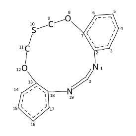 C1=Nc2ccccc2OCSCOc2ccccc2N=1